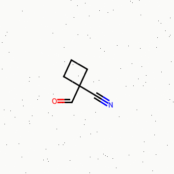 N#CC1(C=O)CCC1